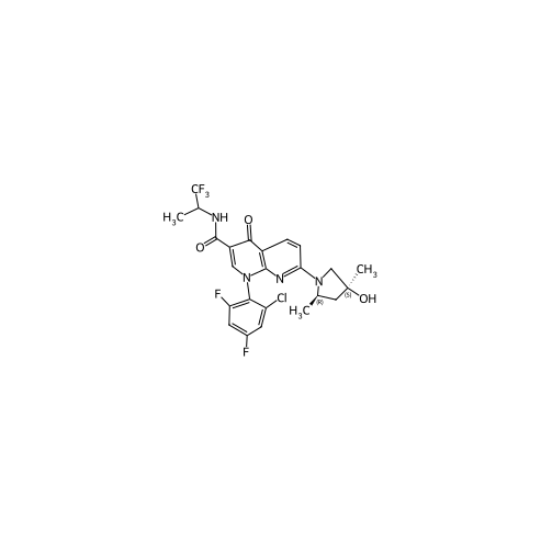 CC(NC(=O)c1cn(-c2c(F)cc(F)cc2Cl)c2nc(N3C[C@@](C)(O)C[C@H]3C)ccc2c1=O)C(F)(F)F